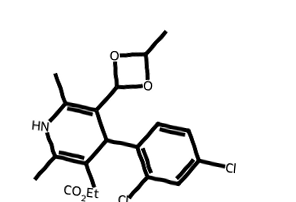 CCOC(=O)C1=C(C)NC(C)=C(C2OC(C)O2)C1c1ccc(Cl)cc1Cl